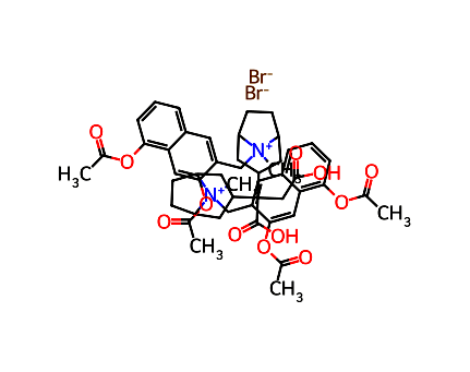 CC(=O)Oc1cc2c(OC(C)=O)cccc2cc1C[N+]1(C)C2CCC1CC(C(CC(=O)O)(C(=O)O)C1CC3CCC(C1)[N+]3(C)Cc1cc3cccc(OC(C)=O)c3cc1OC(C)=O)C2.[Br-].[Br-]